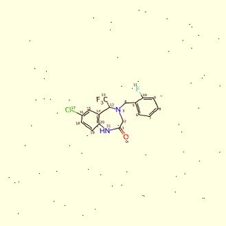 O=C1CN(Cc2ccccc2F)C(C(F)(F)F)c2cc(Cl)ccc2N1